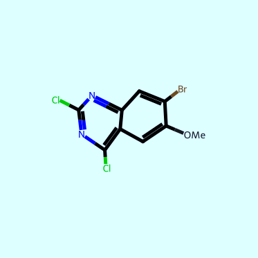 COc1cc2c(Cl)nc(Cl)nc2cc1Br